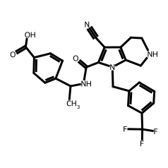 CC(NC(=O)c1c(C#N)c2c(n1Cc1cccc(C(F)(F)F)c1)CNCC2)c1ccc(C(=O)O)cc1